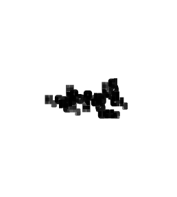 COc1ccc(S(=O)(=O)N(CCNc2cc(C)nc3ccc(Cl)cc23)CCC(=O)Nc2ccc(S(=O)(=O)Nc3cc(C)nc(C)n3)cc2)cc1